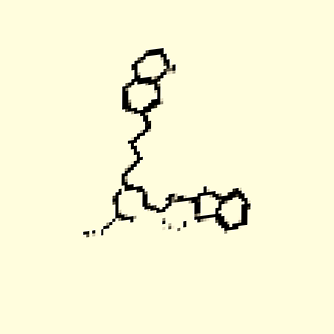 CO[C@H](C)CN(CCCCc1ccc2c(n1)NCCC2)CC[C@H](Nc1nc2ccccc2s1)C(=O)O